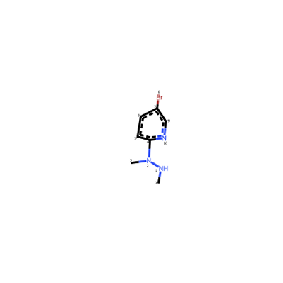 CNN(C)c1ccc(Br)cn1